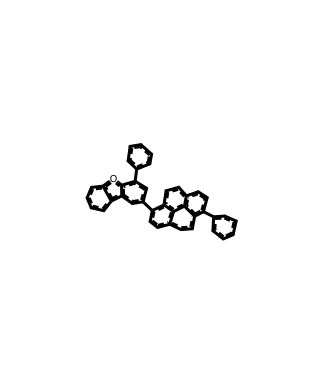 c1ccc(-c2ccc3ccc4c(-c5cc(-c6ccccc6)c6oc7ccccc7c6c5)ccc5ccc2c3c54)cc1